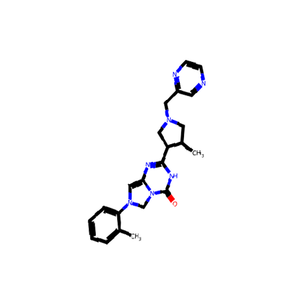 Cc1ccccc1N1C=C2N=C(C3CN(Cc4cnccn4)CC3C)NC(=O)N2C1